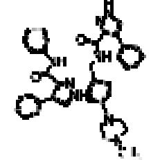 CN1CCN(c2ccc(CNC(=O)c3n[nH]cc3-c3ccccc3)cc2)CC1.O=C(Nc1ccccc1)c1n[nH]cc1-c1ccccc1